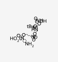 CC(C)(C)[Si](C)(C)O[C@H](CNCc1ccc2c(c1)oc(=O)n2CCCCc1ccc(-c2ccccc2)c(N(C(=O)O)C2CCC(N)CC2)c1)c1ccc(O)c2[nH]c(=O)ccc12